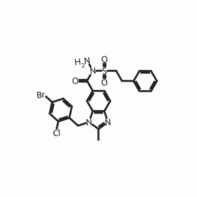 Cc1nc2ccc(C(=O)N(N)S(=O)(=O)CCc3ccccc3)cc2n1Cc1ccc(Br)cc1Cl